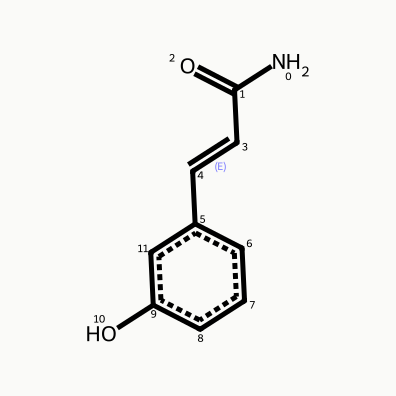 NC(=O)/C=C/c1cccc(O)c1